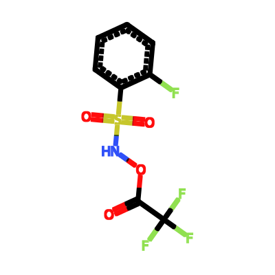 O=C(ONS(=O)(=O)c1ccccc1F)C(F)(F)F